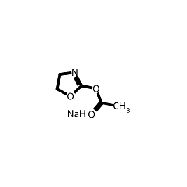 CC(=O)OC1=NCCO1.[NaH]